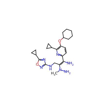 CN(N)/C(CNc1noc(C2CC2)n1)=C(\N)c1ccc(OC2CCCCC2)c(C2CC2)n1